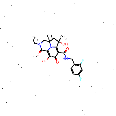 CCN1CC2(C)CC(C)(O)c3c(C(=O)NCc4ccc(F)cc4F)c(=O)c(O)c(n32)C1=O